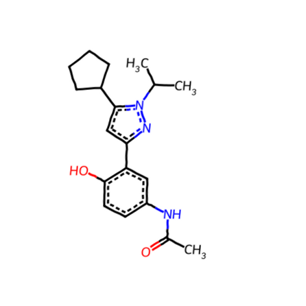 CC(=O)Nc1ccc(O)c(-c2cc(C3CCCC3)n(C(C)C)n2)c1